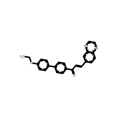 O=C(C=Cc1ccc2nccnc2c1)c1ccc(-c2ccc(OCC(F)(F)F)cc2)cc1